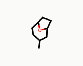 CC1CCC2CCC(C1)O2